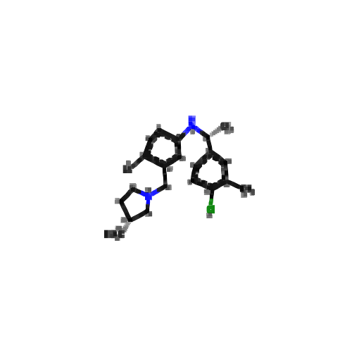 CCc1ccc(N[C@@H](c2ccc(Cl)c(C)c2)C(F)(F)F)cc1CN1CC[C@@H](C(=O)O)C1